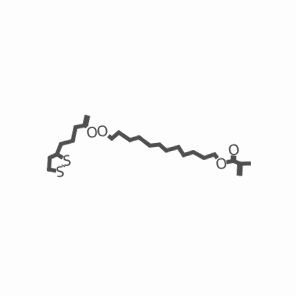 C=C(CCCC1CCSS1)OOCCCCCCCCCCCCOC(=O)C(=C)C